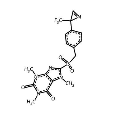 Cn1c(=O)c2c(nc(S(=O)(=O)Cc3ccc(C4(C(F)(F)F)C=N4)cc3)n2C)n(C)c1=O